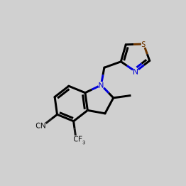 [C-]#[N+]c1ccc2c(c1C(F)(F)F)CC(C)N2Cc1cscn1